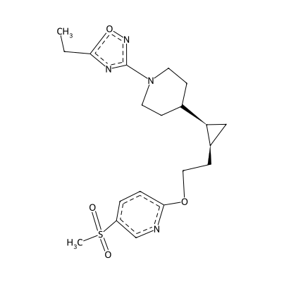 CCc1nc(N2CCC([C@H]3C[C@H]3CCOc3ccc(S(C)(=O)=O)cn3)CC2)no1